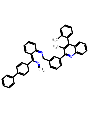 C=N/C(=C1/C=CC=C/C1=N/Cc1cccc(-c2nc3ccccc3c(-c3ccccc3C)c2C)c1)C1C=CC(c2ccccc2)=CC1